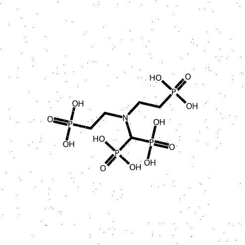 O=P(O)(O)CCN(CCP(=O)(O)O)C(P(=O)(O)O)P(=O)(O)O